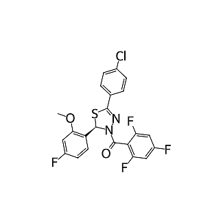 COc1cc(F)ccc1[C@H]1SC(c2ccc(Cl)cc2)=NN1C(=O)c1c(F)cc(F)cc1F